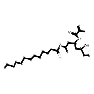 C=C(C)C(=O)OC(CC(O)CC)CC(C)OC(=O)CCCCCCCCCCCC